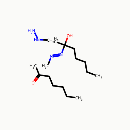 CCCCCC(C)(O)N=NC.CCCCCC(C)=O.CNN